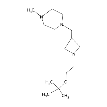 CN1CCN(CC2CN(CCOC(C)(C)C)C2)CC1